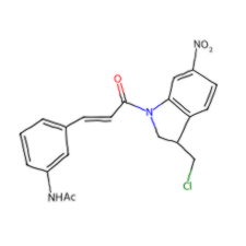 CC(=O)Nc1cccc(C=CC(=O)N2CC(CCl)c3ccc([N+](=O)[O-])cc32)c1